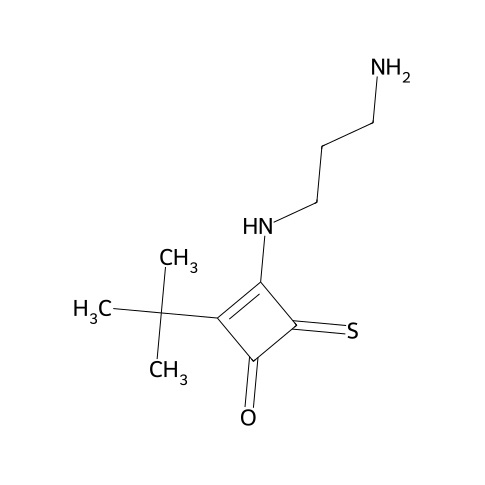 CC(C)(C)c1c(NCCCN)c(=S)c1=O